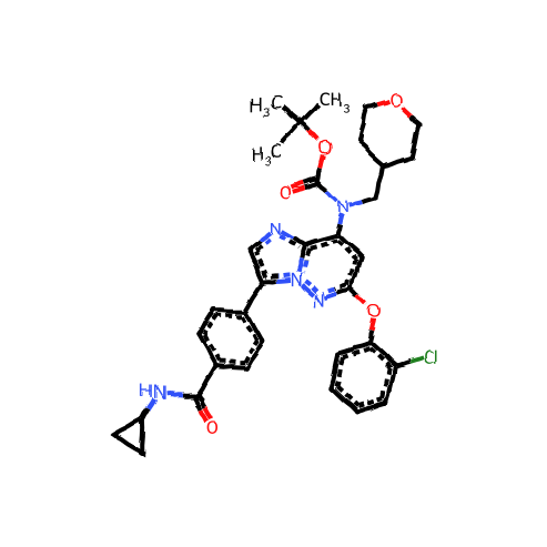 CC(C)(C)OC(=O)N(CC1CCOCC1)c1cc(Oc2ccccc2Cl)nn2c(-c3ccc(C(=O)NC4CC4)cc3)cnc12